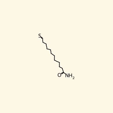 NC(=O)CCCCCCCCCCC=S